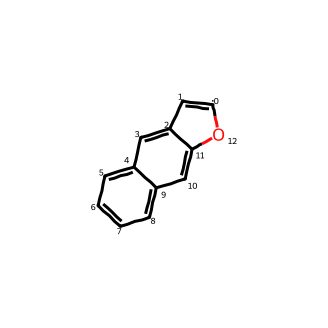 [c]1cc2cc3ccccc3cc2o1